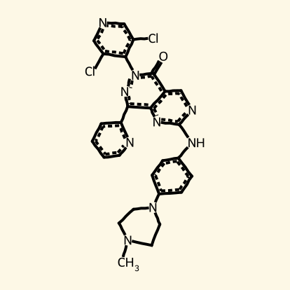 CN1CCN(c2ccc(Nc3ncc4c(=O)n(-c5c(Cl)cncc5Cl)nc(-c5ccccn5)c4n3)cc2)CC1